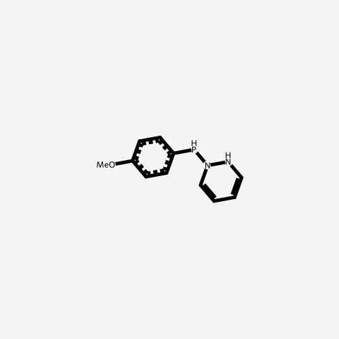 COc1ccc(PN2C=CC=CN2)cc1